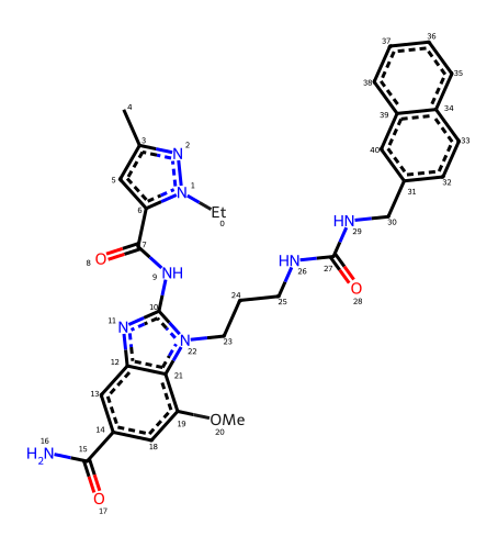 CCn1nc(C)cc1C(=O)Nc1nc2cc(C(N)=O)cc(OC)c2n1CCCNC(=O)NCc1ccc2ccccc2c1